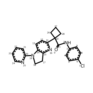 O=C(Nc1ccc(Cl)cc1)C1(c2ccc3c(n2)CCN3c2ccccn2)CCC1